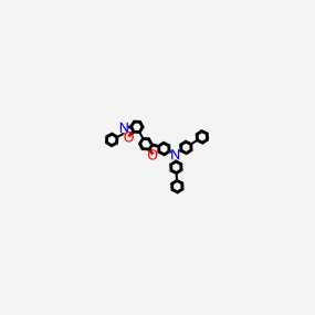 c1ccc(-c2ccc(N(c3ccc(-c4ccccc4)cc3)c3ccc4c(c3)oc3ccc(-c5cccc6nc(-c7ccccc7)oc56)cc34)cc2)cc1